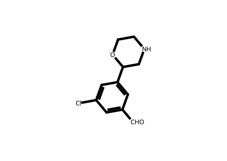 O=Cc1cc(Cl)cc(C2CNCCO2)c1